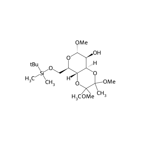 CO[C@H]1O[C@H](CO[Si](C)(C)C(C)(C)C)[C@H]2OC(C)(OC)C(C)(OC)O[C@@H]2[C@@H]1O